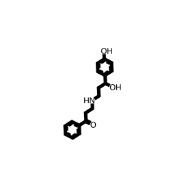 O=C(CCNCCC(O)c1ccc(O)cc1)c1ccccc1